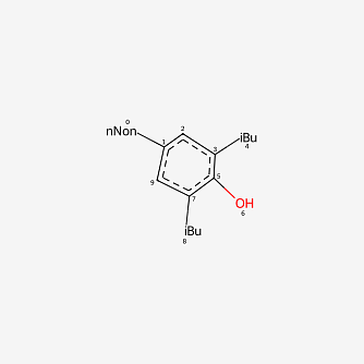 CCCCCCCCCc1cc(C(C)CC)c(O)c(C(C)CC)c1